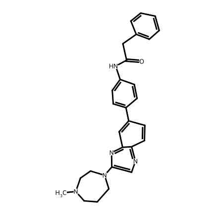 CN1CCCN(c2cnc3ccc(-c4ccc(NC(=O)Cc5ccccc5)cc4)cc3n2)CC1